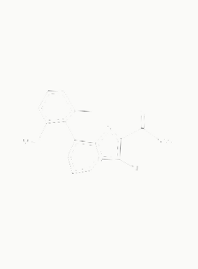 CNC(=O)c1nc2c(-c3c(F)cccc3OC)cccn2c1N